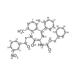 Cc1cccc2c1N(CC(=O)c1cccc([N+](=O)[O-])c1)C(=O)C(NC(=O)OCc1ccccc1)N=C2c1ccccc1F